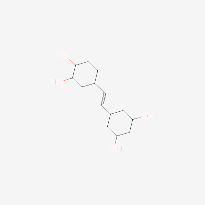 OC1CC(O)CC(/C=C/C2CCC(O)C(O)C2)C1